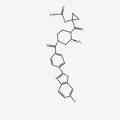 C[C@H]1CN(C(=O)c2ccc(-c3nc4ccc(F)cc4o3)cc2)CCN1C(=O)C1(OC(N)=O)CC1